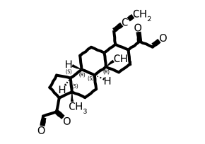 C=C=CC1C(C(=O)C=O)CC[C@@]2(C)C1CC[C@@H]1[C@@H]2CC[C@]2(C)C(C(=O)C=O)CC[C@@H]12